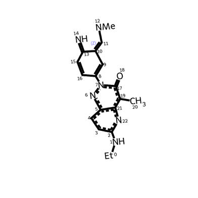 CCNc1ccc2nn(C3=C/C(=C/NC)C(=N)C=C3)c(=O)c(C)c2n1